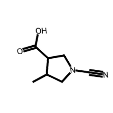 CC1CN(C#N)CC1C(=O)O